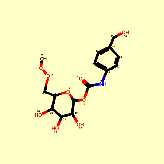 COOCC1OC(OC(=O)Nc2ccc(CO)cc2)C(O)C(O)C1O